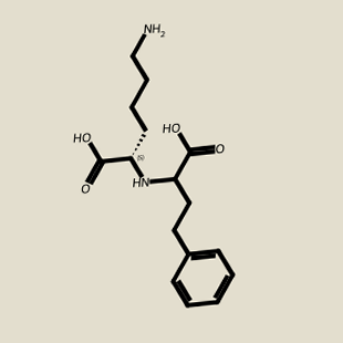 NCCCC[C@H](NC(CCc1ccccc1)C(=O)O)C(=O)O